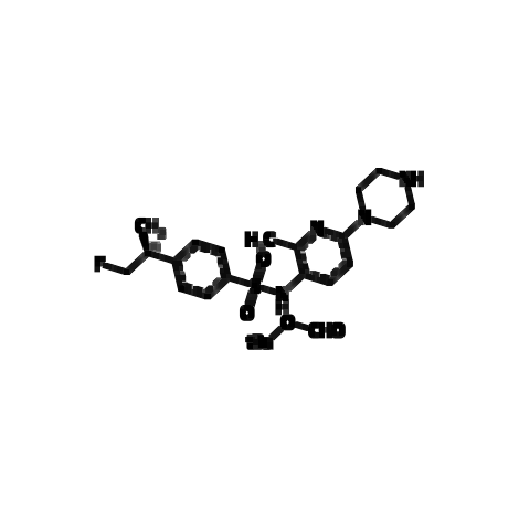 CC(C)(C)OC=O.Cc1nc(N2CCNCC2)ccc1NS(=O)(=O)c1ccc([C@H](C)CF)cc1